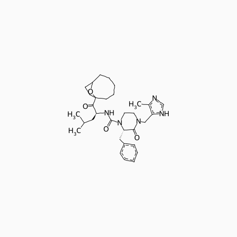 Cc1nc[nH]c1CN1CCN(C(=O)N[C@@H](CC(C)C)C(=O)C23CCCCCC(CC2)O3)[C@@H](Cc2ccccc2)C1=O